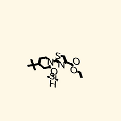 CCOC(=O)c1csc(N2CCC(C(C)(C)C)CC2O[SiH](C)C)n1